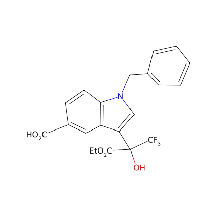 CCOC(=O)C(O)(c1cn(Cc2ccccc2)c2ccc(C(=O)O)cc12)C(F)(F)F